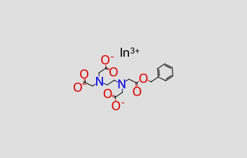 O=C([O-])CN(CCN(CC(=O)[O-])CC(=O)OCc1ccccc1)CC(=O)[O-].[In+3]